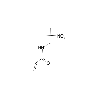 C=CC(=O)NCC(C)(C)[N+](=O)[O-]